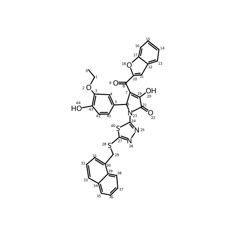 CCOc1cc(C2C(C(=O)c3cc4ccccc4o3)=C(O)C(=O)N2c2nnc(SCc3cccc4ccccc34)s2)ccc1O